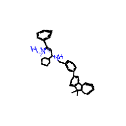 CC1(C)C2=C(C=CC=CC2)c2cc(-c3cccc(CNC(/C=C(\N)c4ccccc4)C4=CCCCC4)c3)ccc21